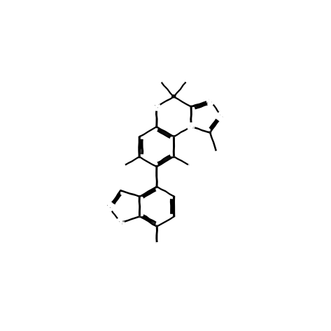 Cc1nnc2n1-c1c(cc(F)c(-c3ccc(F)c4[nH]ncc34)c1F)NC2(C)C